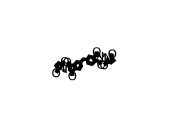 O=C1C=CC(=O)N1CN1C(=O)c2ccc(Cc3ccc4c(c3)C(=O)N(CN3C(=O)C=CC3=O)C4=O)cc2C1=O